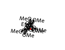 CCC(CC[Si](OCCOCCOC)(OCCOCCOC)OCCOCCOC)C(=O)C(CC)CC[Si](OCCOCCOC)(OCCOCCOC)OCCOCCOC